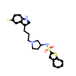 O=S(=O)(NC1CCN(CCCc2c[nH]c3ccc(F)cc23)C1)c1cc2ccccc2s1